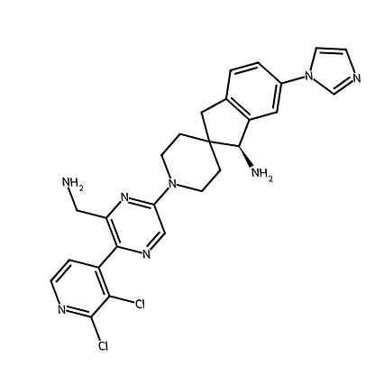 NCc1nc(N2CCC3(CC2)Cc2ccc(-n4ccnc4)cc2[C@H]3N)cnc1-c1ccnc(Cl)c1Cl